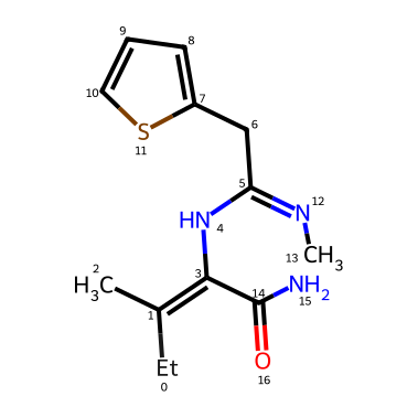 CC/C(C)=C(/N/C(Cc1cccs1)=N\C)C(N)=O